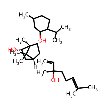 C=CC(C)(O)CCC=C(C)C.CC1(C)[C@@H]2CC[C@@]1(C)[C@@H](O)C2.CC1CCC(C(C)C)C(O)C1